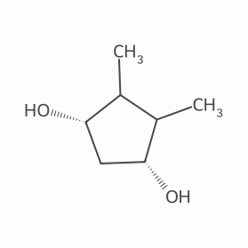 CC1C(C)[C@@H](O)C[C@H]1O